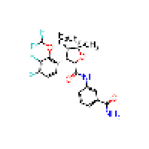 C[C@@H]1[C@@H](c2ccc(F)c(F)c2OC(F)F)[C@@H](C(=O)Nc2cccc(C(N)=O)c2)O[C@@]1(C)C(F)(F)F